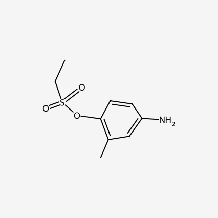 CCS(=O)(=O)Oc1ccc(N)cc1C